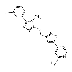 Cc1cc(-c2nc(CSc3nnc(-c4cccc(Cl)c4)n3C)no2)ccn1